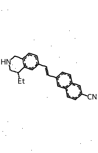 CCC1CNCc2ccc(C=Cc3ccc4cc(C#N)ccc4c3)cc21